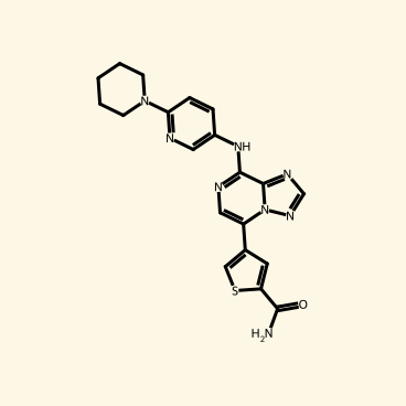 NC(=O)c1cc(-c2cnc(Nc3ccc(N4CCCCC4)nc3)c3ncnn23)cs1